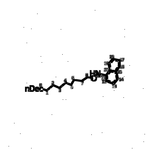 CCCCCCCCCCCCCCCCCCONc1cccc2ccccc12